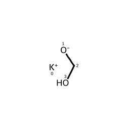 [K+].[O-]CO